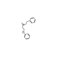 CN(CCOc1ccccc1)CCc1ccccc1